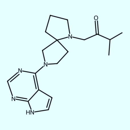 CC(C)C(=O)CN1CCCC12CCN(c1ncnc3[nH]ccc13)C2